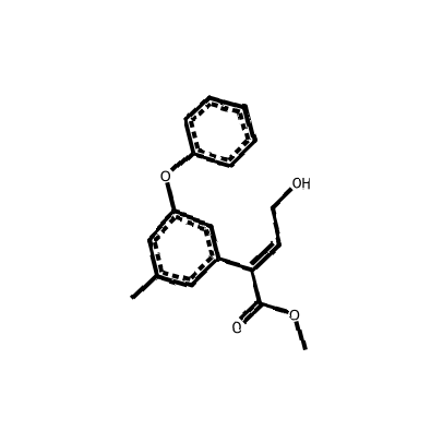 COC(=O)/C(=C/CO)c1cc(C)cc(Oc2ccccc2)c1